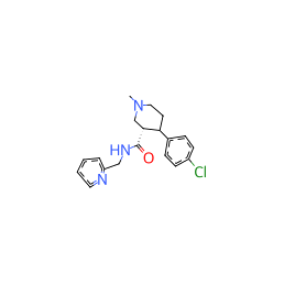 CN1CCC(c2ccc(Cl)cc2)[C@H](C(=O)NCc2ccccn2)C1